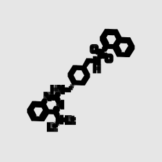 CCN(CC)c1nc(NC[C@H]2CC[C@H](CNS(=O)(=O)c3cccc4ccccc34)CC2)nc2ccccc12